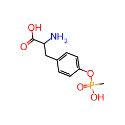 CP(=O)(O)Oc1ccc(CC(N)C(=O)O)cc1